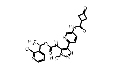 C[C@@H](OC(=O)Nc1c(-c2ccc(NC(=O)C3CC(=O)C3)cn2)nnn1C)c1cccnc1Cl